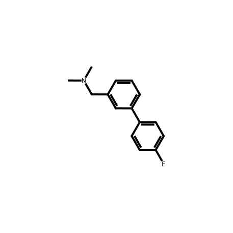 CN(C)Cc1cccc(-c2ccc(F)cc2)c1